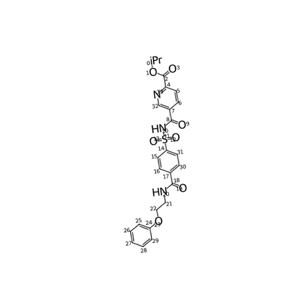 CC(C)OC(=O)c1ccc(C(=O)NS(=O)(=O)c2ccc(C(=O)NCCOc3ccccc3)cc2)cn1